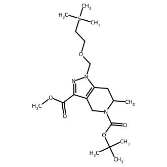 COC(=O)c1nn(COCC[Si](C)(C)C)c2c1CN(C(=O)OC(C)(C)C)C(C)C2